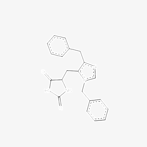 O=C1NC(=O)C(Cc2c(Cc3ccccc3)ncn2Cc2ccccc2)N1